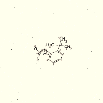 CC(C)(C)c1ccccc1N[N+](=O)[O-]